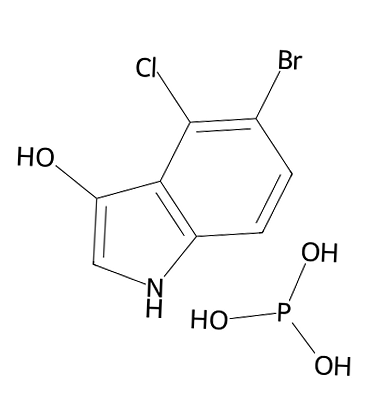 OP(O)O.Oc1c[nH]c2ccc(Br)c(Cl)c12